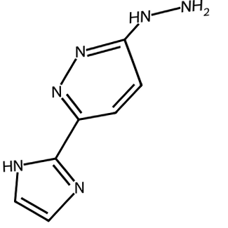 NNc1ccc(-c2ncc[nH]2)nn1